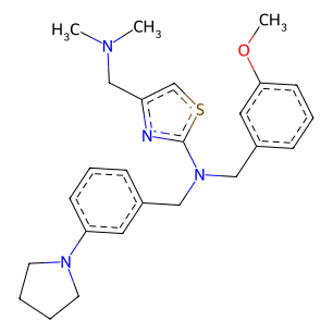 COc1cccc(CN(Cc2cccc(N3CCCC3)c2)c2nc(CN(C)C)cs2)c1